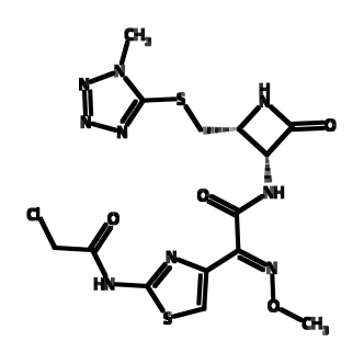 CON=C(C(=O)N[C@H]1C(=O)N[C@H]1CSc1nnnn1C)c1csc(NC(=O)CCl)n1